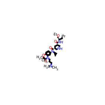 CCOC[C@@H](CC(C)C)NC(=O)[C@@H]1CNC[C@H](C(=O)N(c2ccc3c(c2)N(CCCN(C)C)C(=O)C(C)(C)O3)C2CC2)C1